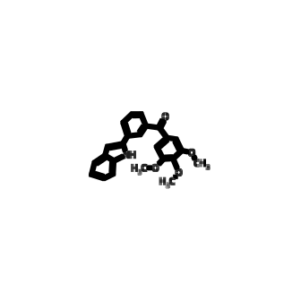 COc1cc(C(=O)c2cccc(-c3cc4ccccc4[nH]3)c2)cc(OC)c1OC